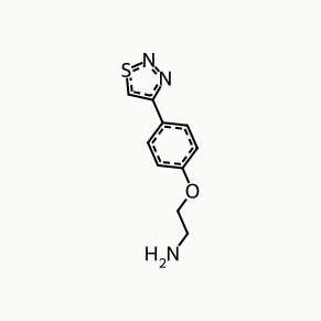 NCCOc1ccc(-c2csnn2)cc1